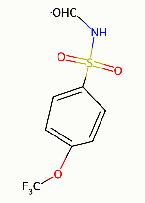 O=[C]NS(=O)(=O)c1ccc(OC(F)(F)F)cc1